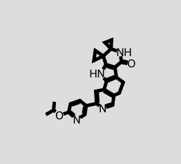 CC(C)Oc1ccc(-c2cc3c(cn2)CCc2c-3[nH]c3c2C(=O)NC2(CC2)C32CC2)cn1